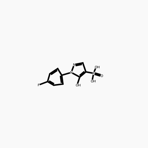 O=P(O)(O)c1cnn(-c2ccc(F)cc2)c1O